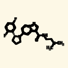 CN(C)CCNC(=O)c1cnn2ccc(N3CCC[C@@H]3c3cc(F)ccc3F)cc12